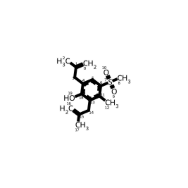 C=C(C)Cc1cc(S(C)(=O)=O)c(C)c(CC(=C)C)c1O